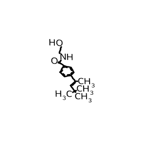 C/C(=C\C(C)(C)C)c1ccc(C(=O)NCCO)cc1